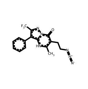 Cc1[nH]c2c(-c3ccccc3)c(C(F)(F)F)nn2c(=O)c1CCN=[N+]=[N-]